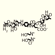 C[N+](C)(C)CCO.C[N+](C)(C)CCO.Cc1cn([C@H]2C[C@H](O)[C@@H](COC(=O)C(CCC(=O)[O-])NC(=O)c3ccc(NCc4cnc5nc(NC(=O)[C@H](C)N)[nH]c(=O)c5n4)cc3)O2)c(=O)[nH]c1=O.[Cl-]